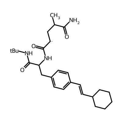 CC(C[CH]C(=O)NC(Cc1ccc(C=CC2CCCCC2)cc1)C(=O)NC(C)(C)C)C(N)=O